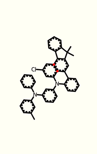 Cc1cccc(N(c2ccccc2)c2cccc(N(c3cccc(Cl)c3)c3ccccc3-c3ccc4c(c3)C(C)(C)c3ccccc3-4)c2)c1